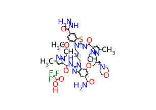 CCn1nc(C)cc1C(=O)/N=c1\sc2cc(C(=O)NN)cc(OC)c2n1C/C=C/Cn1c(NC(=O)c2cc(C)nn2CC)nc2cc(C(N)=O)cc(OCCCN3CCOCC3)c21.O=C(O)C(F)(F)F